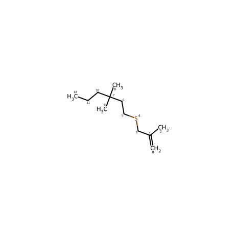 C=C(C)CSCCC(C)(C)CCC